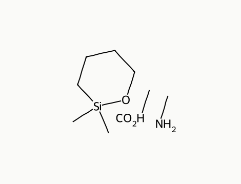 CC(=O)O.CN.C[Si]1(C)CCCCO1